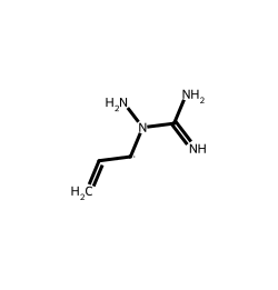 C=C[CH]N(N)C(=N)N